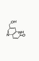 O=c1ccc2ncc(CO)cc2[nH]1